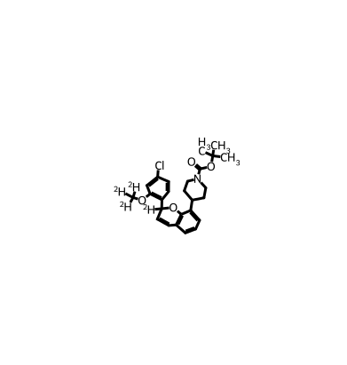 [2H]C([2H])([2H])Oc1cc(Cl)ccc1C1([2H])C=Cc2cccc(C3CCN(C(=O)OC(C)(C)C)CC3)c2O1